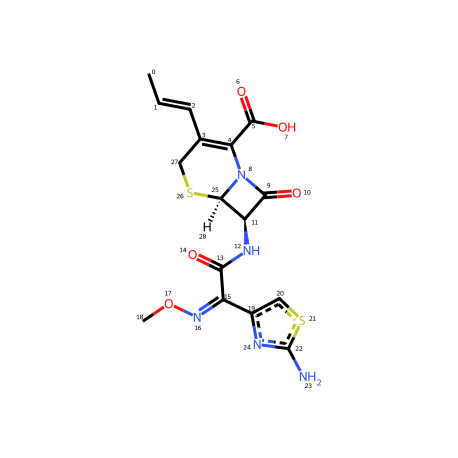 C/C=C/C1=C(C(=O)O)N2C(=O)[C@@H](NC(=O)/C(=N\OC)c3csc(N)n3)[C@H]2SC1